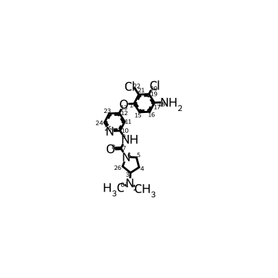 CN(C)C1CCN(C(=O)Nc2cc(Oc3ccc(N)c(Cl)c3Cl)ccn2)C1